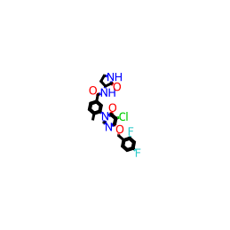 Cc1ccc(C(=O)NC2CCNC2=O)cc1-n1cnc(OCc2ccc(F)cc2F)c(Cl)c1=O